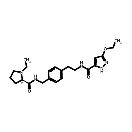 CCOc1cc(C(=O)NCCc2ccc(CNC(=O)[C@H]3CCCN3CC)cc2)[nH]n1